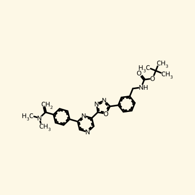 C=C(c1ccc(-c2cncc(-c3nnc(-c4cccc(CNC(=O)OC(C)(C)C)c4)o3)n2)cc1)N(C)C